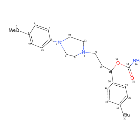 COc1ccc(N2CCN(CCC(OC(N)=O)c3ccc(C(C)(C)C)cc3)CC2)cc1